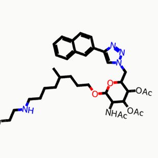 CCC(C)CCNCCCCC(C)CCCOC1OC(Cn2cc(-c3ccc4ccccc4c3)nn2)C(OC(C)=O)C(OC(C)=O)C1NC(C)=O